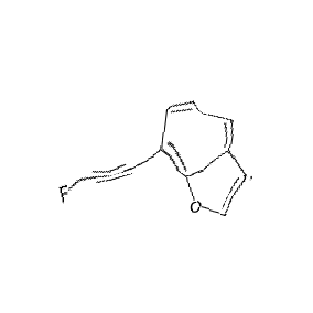 FC#Cc1cccc2[c]coc12